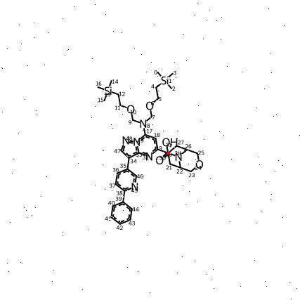 C[Si](C)(C)CCOCN(COCC[Si](C)(C)C)c1cc(C2CC3COCC(C2)N3C(=O)O)nc2c(-c3ccc(-c4ccccc4)nc3)cnn12